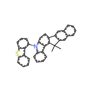 CC1(C)c2cc3ccccc3cc2-c2ccc3c(c21)c1ccccc1n3-c1cccc2sc3ccccc3c12